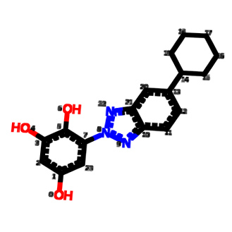 Oc1cc(O)c(O)c(-n2nc3ccc(C4CCCCC4)cc3n2)c1